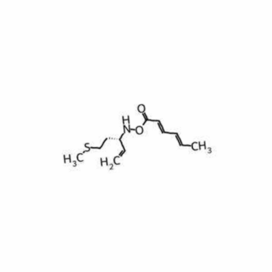 C=C[C@H](CCSC)NOC(=O)/C=C/C=C/C